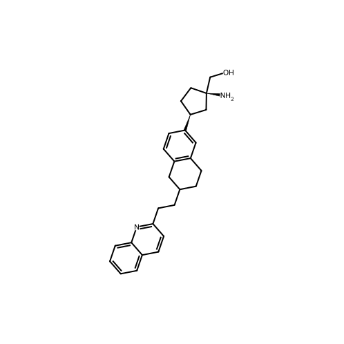 N[C@]1(CO)CC[C@H](c2ccc3c(c2)CCC(CCc2ccc4ccccc4n2)C3)C1